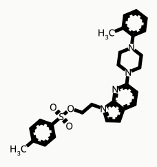 Cc1ccc(S(=O)(=O)OCCn2ccc3ccc(N4CCN(c5ccccc5C)CC4)nc32)cc1